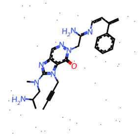 C=C(/C=C\N=C(/N)Cn1ncc2nc(N(C)CC(C)N)n(CC#CC)c2c1=O)c1ccccc1